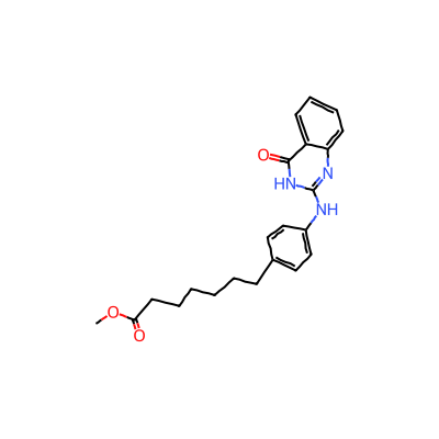 COC(=O)CCCCCCc1ccc(Nc2nc3ccccc3c(=O)[nH]2)cc1